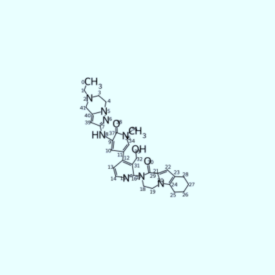 CCN1CCn2nc(Nc3cc(-c4ccnc(N5CCn6c(cc7c6CCCC7)C5=O)c4CO)cn(C)c3=O)cc2C1